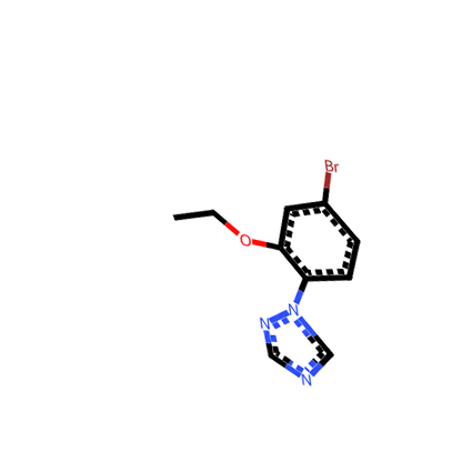 CCOc1cc(Br)ccc1-n1cncn1